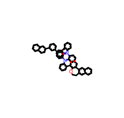 c1cc(-c2ccc(N(c3ccccc3-c3cccc4c3OCCc3cc5ccccc5cc3-4)c3ccccc3-n3c4ccccc4c4ccccc43)cc2)cc(-c2ccc3ccccc3c2)c1